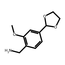 COc1cc(C2OCCO2)ccc1CN